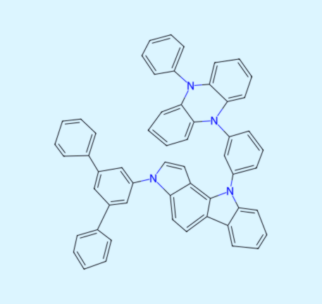 c1ccc(-c2cc(-c3ccccc3)cc(-n3ccc4c3ccc3c5ccccc5n(-c5cccc(N6c7ccccc7N(c7ccccc7)c7ccccc76)c5)c34)c2)cc1